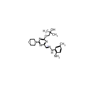 Cc1ccc(N)c(N/N=C/c2nc(OCC(C)(C)O)nc(N3CCOCC3)n2)c1